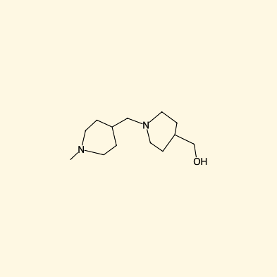 CN1CCC(CN2CCC(CO)CC2)CC1